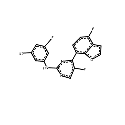 [CH2]Cc1cc(F)cc(Nc2ncc(F)c(-c3ccc(F)c4ccoc34)n2)c1